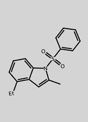 CCc1cccc2c1cc(C)n2S(=O)(=O)c1ccccc1